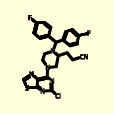 N#CCCC1CN(c2nc(Cl)nc3scnc23)CCN1C(c1ccc(F)cc1)c1ccc(F)cc1